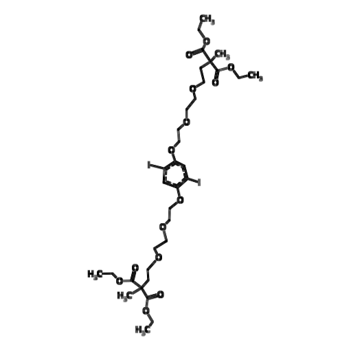 CCOC(=O)C(C)(CCOCCOCCOc1cc(I)c(OCCOCCOCCC(C)(C(=O)OCC)C(=O)OCC)cc1I)C(=O)OCC